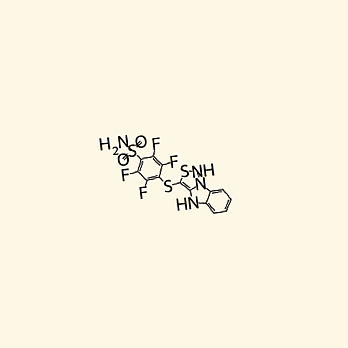 NS(=O)(=O)c1c(F)c(F)c(SC2=C3Nc4ccccc4N3NS2)c(F)c1F